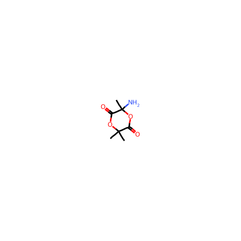 CC1(C)OC(=O)C(C)(N)OC1=O